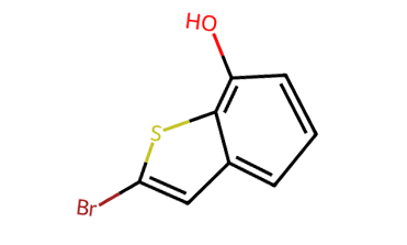 Oc1cccc2cc(Br)sc12